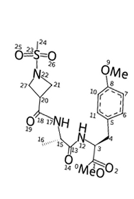 COC(=O)[C@H](Cc1ccc(OC)cc1)NC(=O)[C@H](C)NC(=O)C1CN(S(C)(=O)=O)C1